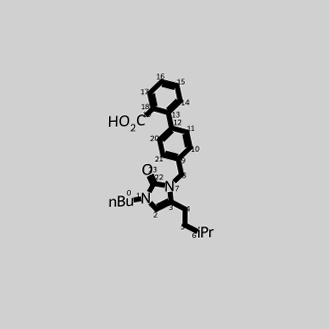 CCCCn1cc(CCC(C)C)n(Cc2ccc(-c3ccccc3C(=O)O)cc2)c1=O